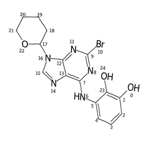 Oc1cccc(Nc2nc(Br)nc3c2ncn3C2CCCCO2)c1O